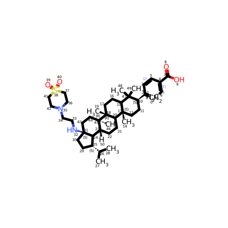 C=C(/C=C\C(=C/C)C(=O)O)[C@H]1CC[C@@]2(C)C(CC[C@]3(C)C2CC[C@@H]2C4[C@H](C(C)C)CC[C@]4(NCCN4CCS(=O)(=O)CC4)CC[C@]23C)C1(C)C